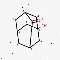 [O]C12CC3CC(C1)C(=O)C(C3)C2